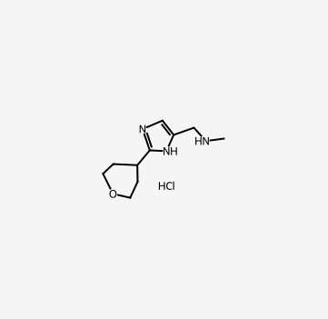 CNCc1cnc(C2CCOCC2)[nH]1.Cl